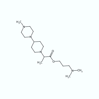 CC(C(=O)OCCCN(C)C)N1CCC(N2CCN(C)CC2)CC1